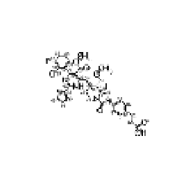 COC[C@@H]1[C@H]2CN(c3ccc(CCC(=O)O)cc3)C(=O)N2CCN1CC1=C(C(=O)OC)C(c2cccc(F)c2Cl)N=C(c2nccs2)N1